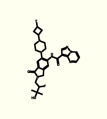 CC(C)(O)C(F)CN1Cc2cc(NC(=O)c3cnn4cccnc34)c(N3CCN(C4CC(F)C4)CC3)cc2C1=O